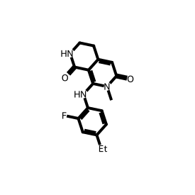 CCc1ccc(Nc2c3c(cc(=O)n2C)CCNC3=O)c(F)c1